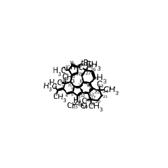 CC(C)=C1C=C2C(=c3c4c(c5c(c3=[C]2[Zr]([Cl])[Cl])C(C)(C)CCC5(C)C)C=CC(C)(C)C4)C(C2=CC(C(C)(C)C)=CC2C)C1(C)C